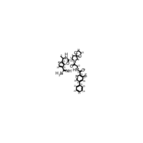 CC(NC(=O)[C@@H]1CC2(CN1C(=O)CNC(=O)c1ncc(-c3ccccc3)cc1F)OCCO2)c1cc(C(=N)N)cs1